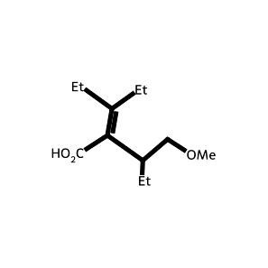 CCC(CC)=C(C(=O)O)C(CC)COC